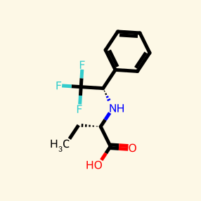 CC[C@H](N[C@@H](c1ccccc1)C(F)(F)F)C(=O)O